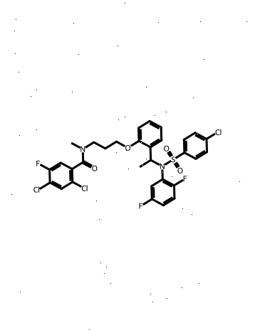 CC(c1ccccc1OCCCN(C)C(=O)c1cc(F)c(Cl)cc1Cl)N(c1cc(F)ccc1F)S(=O)(=O)c1ccc(Cl)cc1